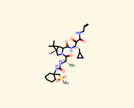 C=CCNC(=O)C(=O)[C@H](CC1CC1)NC(=O)C1C2[C@H](CN1C(=O)[C@@H](NC(=O)NC1(CS(=O)(=O)C(C)(C)C)CCCCC1)C(C)(C)C)C2(C)C